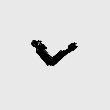 [Al+3].[Al+3].[Al+3].[Al+3].[Al+3].[Al+3].[Al+3].[Al+3].[Cl-].[Cl-].[Cl-].[Cl-].[Cl-].[OH-].[OH-].[OH-].[OH-].[OH-].[OH-].[OH-].[OH-].[OH-].[OH-].[OH-].[OH-].[OH-].[OH-].[OH-].[OH-].[OH-].[OH-].[OH-].[OH-].[OH-].[OH-].[OH-].[Zr+4]